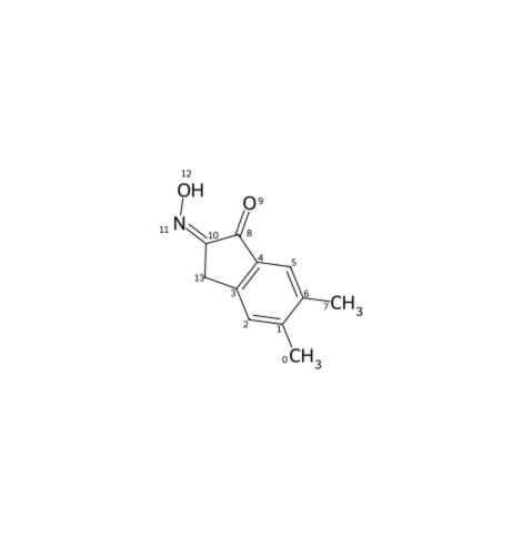 Cc1cc2c(cc1C)C(=O)/C(=N\O)C2